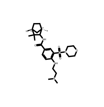 CN(C)CCNc1ccc(C(=O)NC2C(C)(C)[C@@H]3CC[C@]2(C)C3)cc1S(=O)(=O)N1CCOCC1